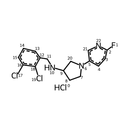 Cl.Fc1ccc(N2CCC(NCc3cccc(Cl)c3Cl)C2)cn1